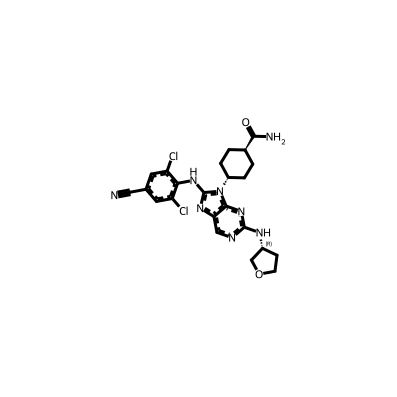 N#Cc1cc(Cl)c(Nc2nc3cnc(N[C@@H]4CCOC4)nc3n2[C@H]2CC[C@H](C(N)=O)CC2)c(Cl)c1